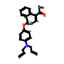 C=CCN(CC=C)c1ccc(OCc2ccccc2/C(=C\OC)C(=O)OC)cc1